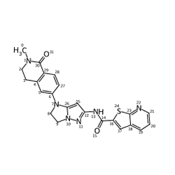 CN1CCc2cc(N3CCn4nc(NC(=O)c5cc6cccnc6s5)cc43)ccc2C1=O